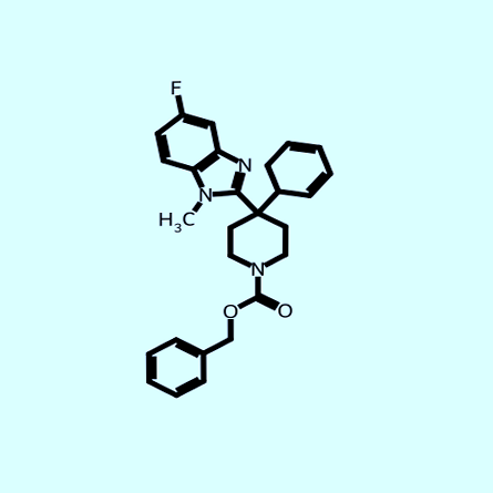 Cn1c(C2(C3C=CC=CC3)CCN(C(=O)OCc3ccccc3)CC2)nc2cc(F)ccc21